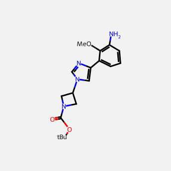 COc1c(N)cccc1-c1cn(C2CN(C(=O)OC(C)(C)C)C2)cn1